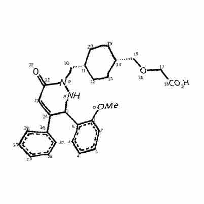 COc1ccccc1C1NN(C[C@H]2CC[C@@H](COCC(=O)O)CC2)C(=O)C=C1c1ccccc1